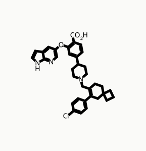 O=C(O)c1ccc(C2CCN(CC3=C(c4ccc(Cl)cc4)CC4(CCC4)CC3)CC2)cc1Oc1cnc2[nH]ccc2c1